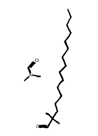 CCCCCCCCCCCCCCC(C)(C)C=O.CN(C)C=O